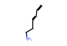 C=C/C=C/CCN